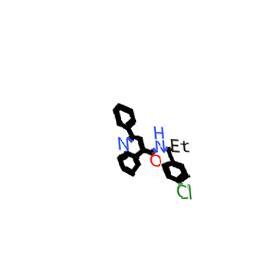 CCC(NC(=O)c1cc(-c2ccccc2)nc2ccccc12)c1ccc(Cl)cc1